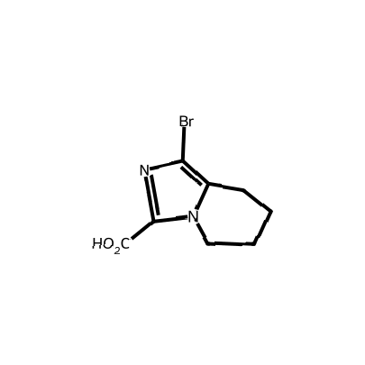 O=C(O)c1nc(Br)c2n1CCCC2